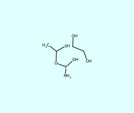 CC(S)OP(N)O.OCCO